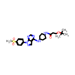 CC(C)(C)OCCC(=O)N[C@H]1CC[C@@H](Nc2ncnc3c2cnn3-c2ccc(S(C)(=O)=O)cc2)CC1